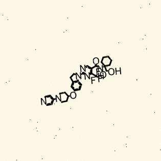 O=C(NC1(C(=O)O)CCCCC1)c1cnc(N2CCc3cc(OC4CCN(c5ccncc5)CC4)ccc32)nc1C(F)(F)F